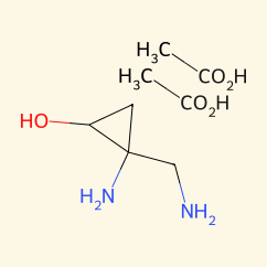 CC(=O)O.CC(=O)O.NCC1(N)CC1O